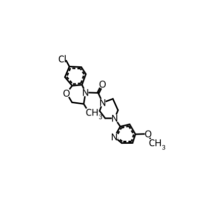 COc1ccnc(N2CCN(C(=O)N3c4ccc(Cl)cc4OCC3C)CC2)c1